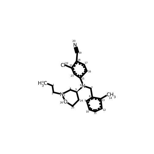 CCCN1C[C@@H](N(Cc2ccccc2C)c2ccc(C#N)c(Cl)c2)CCO1